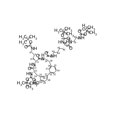 CC(C)(C)OC(=O)NCCC[C@@H]1NC(=O)[C@@H](NC(=O)OC(C)(C)C)Cc2cc(ccc2O)-c2cccc(c2)C[C@@H](C(=O)NCCCC[C@H](NC(=O)OC(C)(C)C)C(=O)NCCNC(=O)OC(C)(C)C)NC1=O